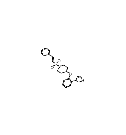 O=S(=O)(C=Cc1ccccc1)N1CCC(Oc2ccccc2-c2ccno2)CC1